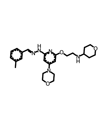 Cc1cccc(C=NNc2cc(N3CCOCC3)cc(OCCNC3CCOCC3)n2)c1